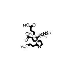 C=CCC1=NCC[N+]1(CCC(=O)O)C(C)OCCC(=O)O.[Na].[Na].[OH-]